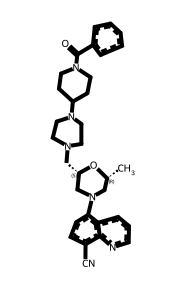 C[C@@H]1CN(c2ccc(C#N)c3ncccc23)C[C@H](CN2CCN(C3CCN(C(=O)c4ccccc4)CC3)CC2)O1